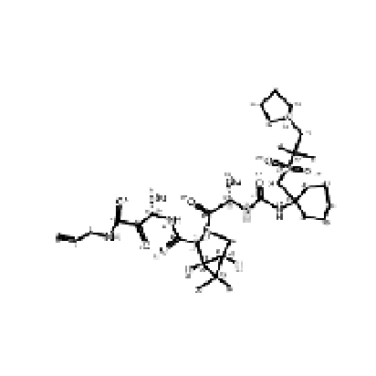 C=CCNC(=O)C(=O)[C@H](CCCC)NC(=O)[C@@H]1[C@@H]2[C@H](CN1C(=O)[C@@H](NC(=O)NC1(CS(=O)(=O)C(C)(C)CN3CCCC3)CCCCC1)C(C)(C)C)C2(C)C